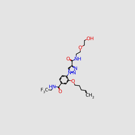 C=CCCCOc1cc(C(=O)NCC(F)(F)F)ccc1-n1cc(C(=O)NCCOCCO)nn1